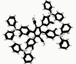 Cc1cc(-c2c(C#N)c(-c3ccc(N(c4ccccc4)c4ccccc4)c(C)c3)c(-c3ccc(N(c4ccccc4)c4ccccc4)c(C)c3)c(C#N)c2-c2ccc(N(c3ccccc3)c3ccccc3)c(C)c2)ccc1N(c1ccccc1)c1ccccc1